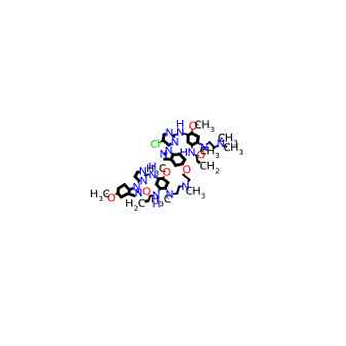 C=CC(=O)Nc1cc(Nc2ncc(Cl)c(-n3ncc4cc(OCCN(C)CCN(C)c5cc(OC)c(Nc6nccc(-n7ncc8cc(OC)ccc87)n6)cc5NC(=O)C=C)ccc43)n2)c(OC)cc1N(C)CCN(C)C